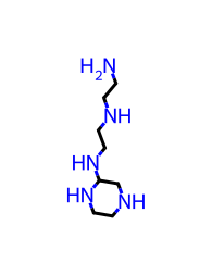 NCCNCCNC1CNCCN1